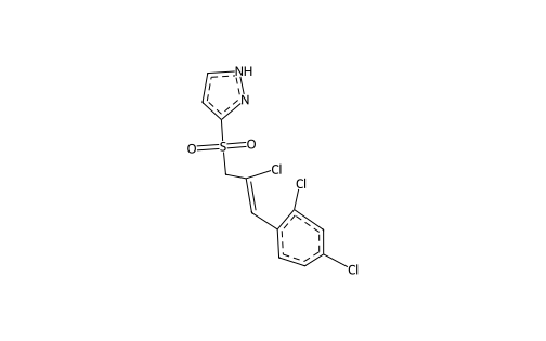 O=S(=O)(CC(Cl)=Cc1ccc(Cl)cc1Cl)c1cc[nH]n1